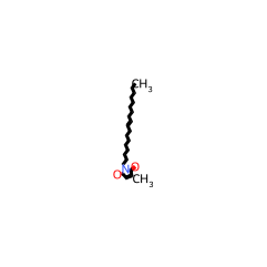 CCCCCCCCC=CCCCCCCCCN1C(=O)C=C(C)C1=O